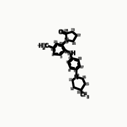 [CH2]c1ccc(Nc2ccc(N3CCC(C(F)(F)F)CC3)cc2)c(N2CCCC2=O)c1